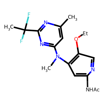 CCOc1cnc(NC(C)=O)cc1N(C)c1cc(C)nc(C(C)(F)F)n1